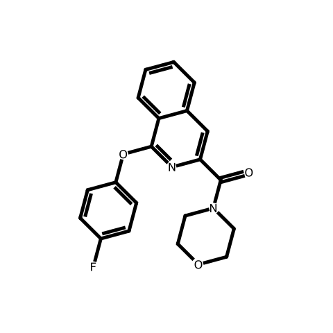 O=C(c1cc2ccccc2c(Oc2ccc(F)cc2)n1)N1CCOCC1